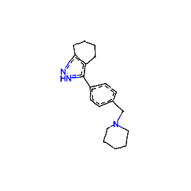 c1cc(-c2[nH]nc3c2CCCC3)ccc1CN1CCCCC1